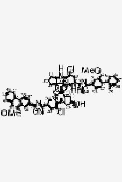 COCc1cc(-c2nc(-c3cnc(NC4CCCC4(COC(=O)C4CC(O)CN4c4ncc(-c5noc(-c6ccc(-c7ccccc7C)c(COC)c6)n5)cc4Cl)C(=O)O)c(Cl)c3)no2)ccc1-c1ccccc1C